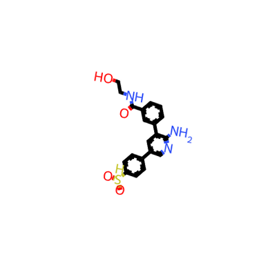 Nc1ncc(-c2ccc([SH](=O)=O)cc2)cc1-c1cccc(C(=O)NCCO)c1